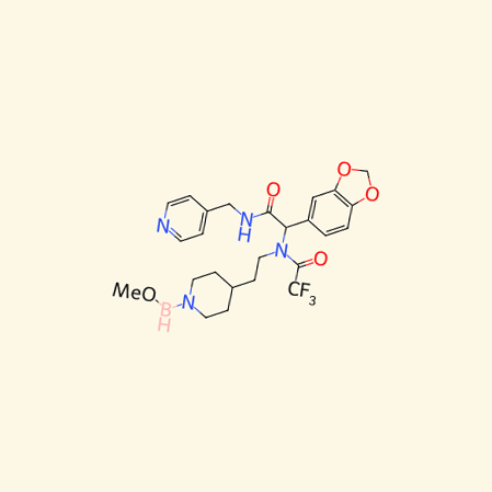 COBN1CCC(CCN(C(=O)C(F)(F)F)C(C(=O)NCc2ccncc2)c2ccc3c(c2)OCO3)CC1